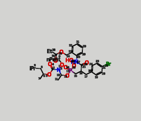 CCCCCON(C(=O)OC(C)CC(C)C)C(C)OP(=O)(CC(Cc1ccc(Br)cc1)C(=O)Nc1ccccc1COC(=O)CC)OO